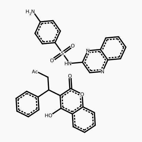 CC(=O)CC(c1ccccc1)c1c(O)c2ccccc2oc1=O.Nc1ccc(S(=O)(=O)Nc2cnc3ccccc3n2)cc1